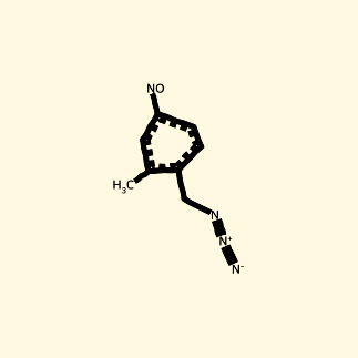 Cc1cc(N=O)ccc1CN=[N+]=[N-]